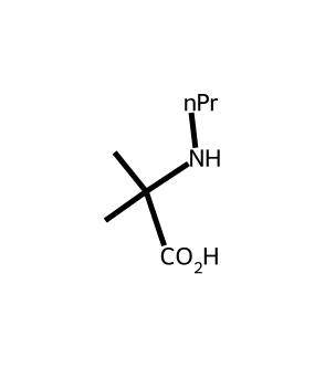 CCCNC(C)(C)C(=O)O